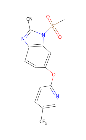 CS(=O)(=O)n1c(C#N)nc2ccc(Oc3ccc(C(F)(F)F)cn3)cc21